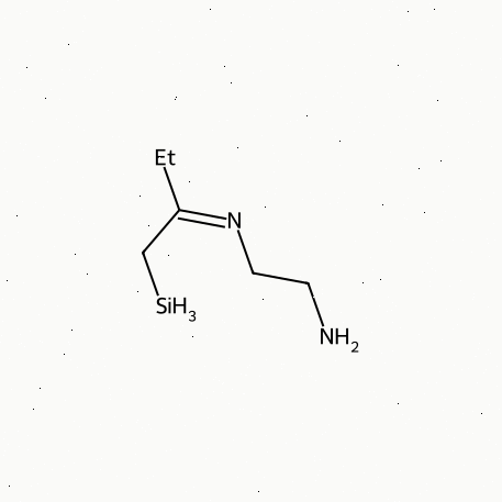 CCC(C[SiH3])=NCCN